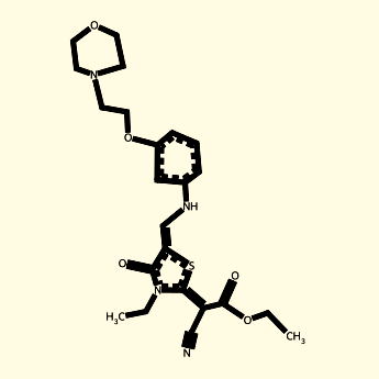 CCOC(=O)C(C#N)=c1sc(=CNc2cccc(OCCN3CCOCC3)c2)c(=O)n1CC